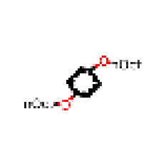 CCCCCCCCOc1[c]cc(OCCCCCCCC)cc1